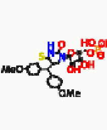 COc1ccc(C(c2ccc(OC)cc2)c2cn([C@@H]3O[C@H](COP(=O)(O)O)[C@@H](O)[C@H]3O)c(=O)[nH]c2=S)cc1